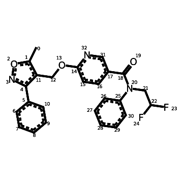 Cc1onc(-c2ccccc2)c1COc1ccc(C(=O)N(CC(F)F)c2ccccc2)cn1